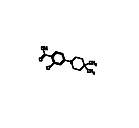 CC1(C)CCN(c2ccc(C(=O)O)c(Cl)c2)CC1